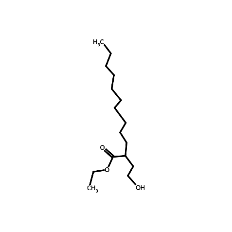 CCCCCCCCCCC(CCO)C(=O)OCC